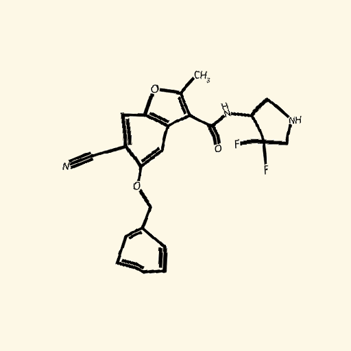 Cc1oc2cc(C#N)c(OCc3ccccc3)cc2c1C(=O)NC1CNCC1(F)F